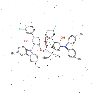 CC(C)(C)CC(C)(C)c1cc(-c2cc(F)ccc2OCCOc2c(C(C)(C)CC(C)(C)C)cc(-c3cccc(F)c3)c(O)c2-n2c3ccc(C(C)(C)C)cc3c3cc(C(C)(C)C)ccc32)c(O)c(-n2c3ccc(C(C)(C)C)cc3c3cc(C(C)(C)C)ccc32)c1